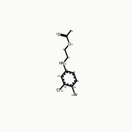 CC(=O)OCCNc1ccc(Br)c(Cl)c1